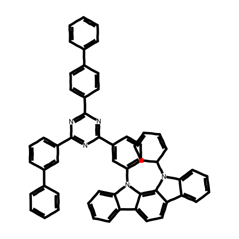 C1=CCC(n2c3ccccc3c3ccc4c5ccccc5n(-c5cccc(-c6nc(-c7ccc(-c8ccccc8)cc7)nc(-c7cccc(-c8ccccc8)c7)n6)c5)c4c32)C=C1